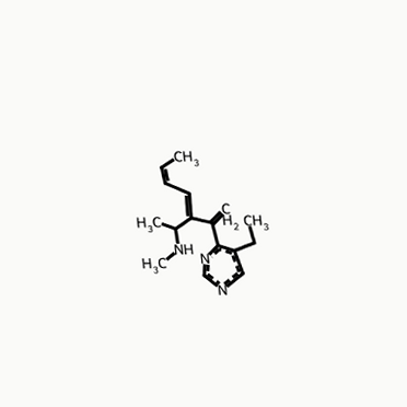 C=C(/C(=C/C=C\C)C(C)NC)c1ncncc1CC